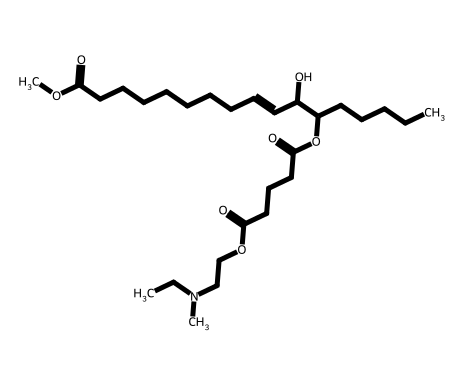 CCCCCC(OC(=O)CCCC(=O)OCCN(C)CC)C(O)C=CCCCCCCCC(=O)OC